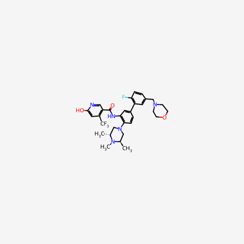 C[C@@H]1CN(c2ccc(-c3cc(CN4CCOCC4)ccc3F)cc2NC(=O)c2cnc(O)cc2C(F)(F)F)C[C@@H](C)N1C